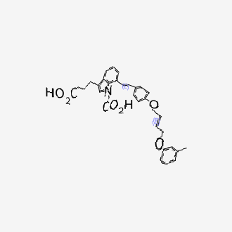 Cc1cccc(OC/C=C/COc2ccc(/C=C/c3cccc4c(CCCC(=O)O)cn(CC(=O)O)c34)cc2)c1